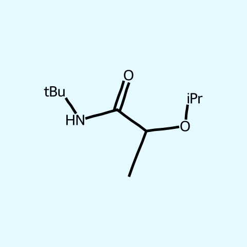 CC(C)OC(C)C(=O)NC(C)(C)C